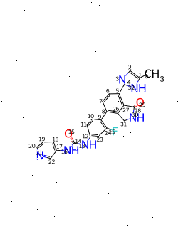 Cc1cnc(-c2ccc(-c3ccc(NC(=O)Nc4cccnc4)cc3F)c3c2C(=O)NC3)[nH]1